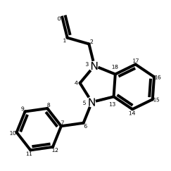 C=CCN1CN(Cc2ccccc2)c2ccccc21